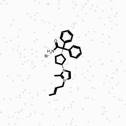 CC=CC[n+]1ccn([C@@H]2CC[C@H](C(C(N)=O)(c3ccccc3)c3ccccc3)C2)c1C.[Br-]